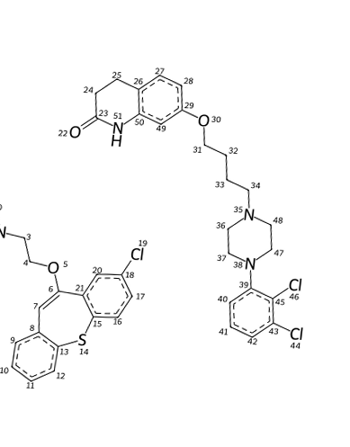 CN(C)CCOC1=Cc2ccccc2Sc2ccc(Cl)cc21.O=C1CCc2ccc(OCCCCN3CCN(c4cccc(Cl)c4Cl)CC3)cc2N1